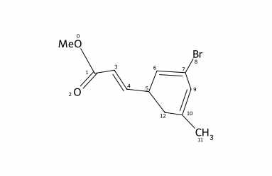 COC(=O)C=CC1C=C(Br)C=C(C)C1